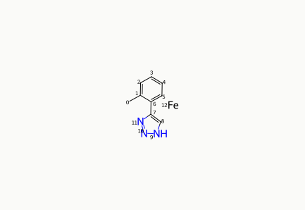 Cc1ccccc1-c1c[nH]nn1.[Fe]